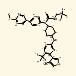 COc1ncc(-c2cnc(N(C(=O)NCC(C)(F)F)C3CCC(Nc4ncc(C(F)(F)F)c(-c5n[nH]cc5Cl)n4)CC3)cn2)cn1